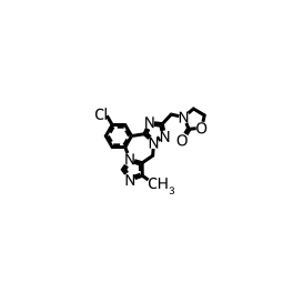 Cc1ncn2c1Cn1nc(CN3CCOC3=O)nc1-c1cc(Cl)ccc1-2